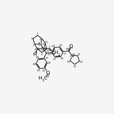 C=CCN1C2CCC1[C@H]1CCC2N1C(c1ccc(C(=O)N2CCCC2)cc1)c1cccc(OC)c1